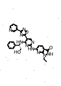 CCn1[nH]c(=O)c2ccc(Nc3ncc(-c4nc(-c5cccnc5)no4)c(N[C@H](CO)c4ccccc4)n3)nc21